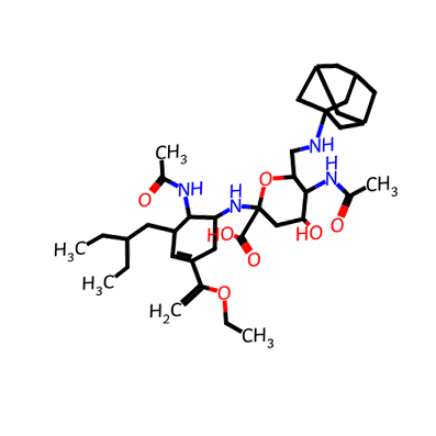 C=C(OCC)C1=CC(CC(CC)CC)C(NC(C)=O)C(NC2(C(=O)O)CC(O)C(NC(C)=O)C(CNC34CC5CC(CC(C5)C3)C4)O2)C1